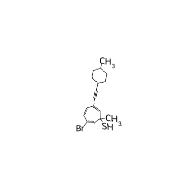 CC1CCC(C#CC2=CC(C)(S)C=C(Br)C=C2)CC1